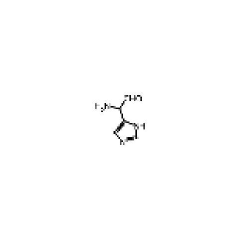 NC(C=O)c1cnc[nH]1